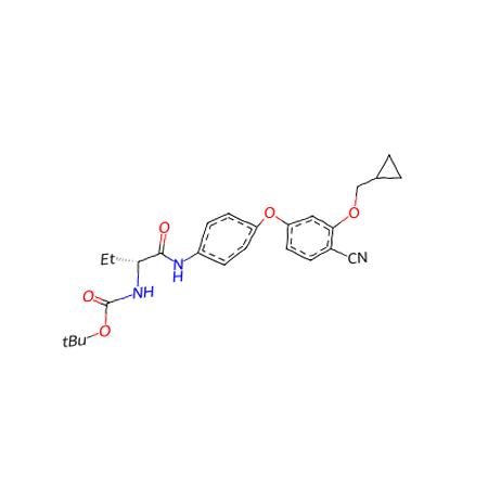 CC[C@@H](NC(=O)OC(C)(C)C)C(=O)Nc1ccc(Oc2ccc(C#N)c(OCC3CC3)c2)cc1